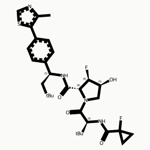 Cc1ncsc1-c1ccc([C@H](CC(C)(C)C)NC(=O)[C@@H]2[C@@H](F)[C@@H](O)CN2C(=O)[C@@H](NC(=O)C2(F)CC2)C(C)(C)C)cc1